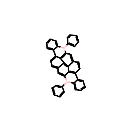 c1ccc(B2c3ccccc3-c3ccc4cc5c6c(ccc7cc2c3c4c76)-c2ccccc2B5c2ccccc2)cc1